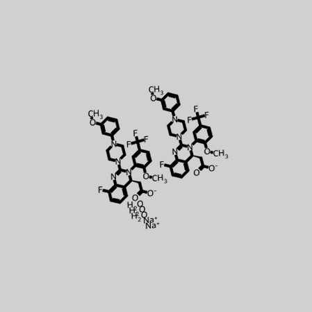 COc1cccc(N2CCN(C3=Nc4c(F)cccc4[C@H](CC(=O)[O-])N3c3cc(C(F)(F)F)ccc3OC)CC2)c1.COc1cccc(N2CCN(C3=Nc4c(F)cccc4[C@H](CC(=O)[O-])N3c3cc(C(F)(F)F)ccc3OC)CC2)c1.O.O.O.[Na+].[Na+]